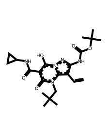 C=Cc1c(NC(=O)OC(C)(C)C)nn2c(O)c(C(=O)NC3CC3)c(=O)n(CC(C)(C)C)c12